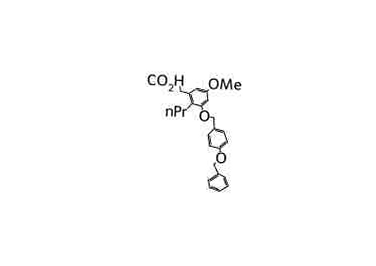 CCCc1c(CC(=O)O)cc(OC)cc1OCc1ccc(OCc2ccccc2)cc1